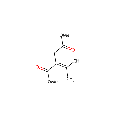 COC(=O)CC(C(=O)OC)=C(C)C